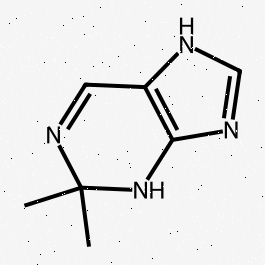 CC1(C)N=Cc2[nH]cnc2N1